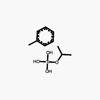 CC(C)[O][Ti]([OH])([OH])[OH].Cc1ccccc1